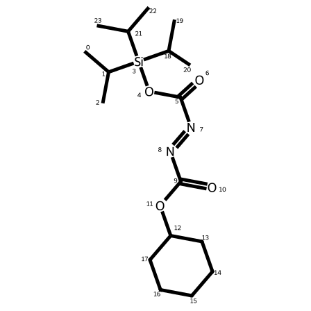 CC(C)[Si](OC(=O)N=NC(=O)OC1CCCCC1)(C(C)C)C(C)C